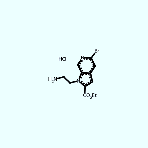 CCOC(=O)c1cc2cc(Br)ncc2n1CCN.Cl